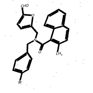 Cc1ccc2ccccc2c1C(=O)N(Cc1ccc(Br)cc1)Cc1ccc(C=O)o1